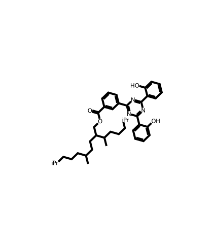 CC(C)CCCC(C)CCC(COC(=O)c1cccc(-c2nc(-c3ccccc3O)nc(-c3ccccc3O)n2)c1)C(C)CCCC(C)C